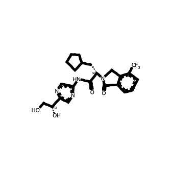 O=C(Nc1cnc([C@H](O)CO)cn1)[C@H](CC1CCCC1)N1Cc2c(cccc2C(F)(F)F)C1=O